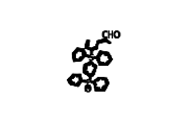 C=C/C(=C\C=C(/C)C=O)S(c1ccccc1)(c1ccccc1)c1ccc(P(=O)(c2ccccc2)c2ccccc2)cc1